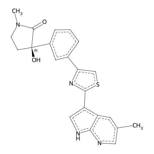 Cc1cnc2[nH]cc(-c3nc(-c4cccc([C@]5(O)CCN(C)C5=O)c4)cs3)c2c1